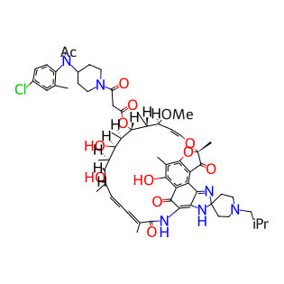 CO[C@H]1/C=C/O[C@@]2(C)Oc3c(C)c(O)c4c(c3C2=O)C2=NC3(CCN(CC(C)C)CC3)NC2=C(NC(=O)/C(C)=C\C=C\[C@H](C)[C@H](O)[C@@H](C)[C@@H](O)[C@@H](C)[C@H](OC(=O)CC(=O)N2CCC(N(C(C)=O)c3ccc(Cl)cc3C)CC2)[C@@H]1C)C4=O